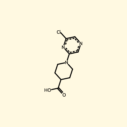 O=C(O)C1CCN(c2cncc(Cl)n2)CC1